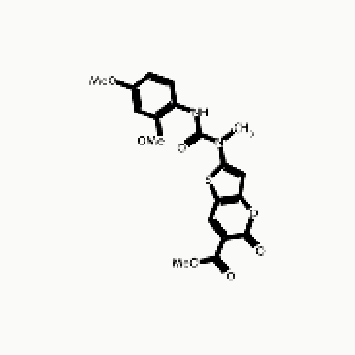 COC(=O)c1cc2sc(N(C)C(=O)Nc3ccc(OC)cc3OC)cc2oc1=O